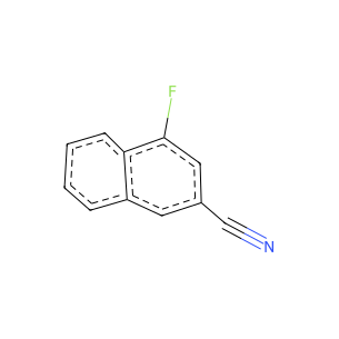 N#Cc1cc(F)c2ccccc2c1